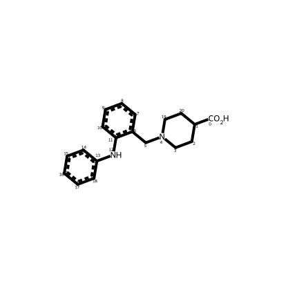 O=C(O)C1CCN(Cc2ccccc2Nc2cc[c]cc2)CC1